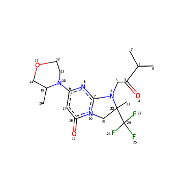 CC(C)C(=O)CN1c2nc(N3CCOCC3C)cc(=O)n2CC1(C)C(F)(F)F